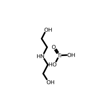 OCCNCCO.[O]=[Ti]([OH])[OH]